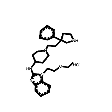 CCOCCn1c(NC2CCN(CCC3(c4ccccc4)CCNC3)CC2)nc2ccccc21.Cl